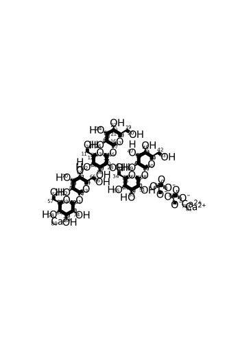 O=P([O-])([O-])[O-].O=P([O-])([O-])[O-].OC[C@H]1O[C@H](O[C@H]2O[C@H](CO)[C@@H](O)[C@H](O)[C@H]2O)[C@H](O)[C@@H](O)[C@@H]1O.OC[C@H]1O[C@H](O[C@H]2O[C@H](CO)[C@@H](O)[C@H](O)[C@H]2O)[C@H](O)[C@@H](O)[C@@H]1O.OC[C@H]1O[C@H](O[C@H]2O[C@H](CO)[C@@H](O)[C@H](O)[C@H]2O)[C@H](O)[C@@H](O)[C@@H]1O.[Ca+2].[Ca+2].[Ca+2]